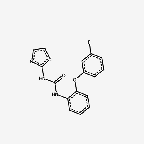 O=C(Nc1nccs1)Nc1ccccc1Oc1cccc(F)c1